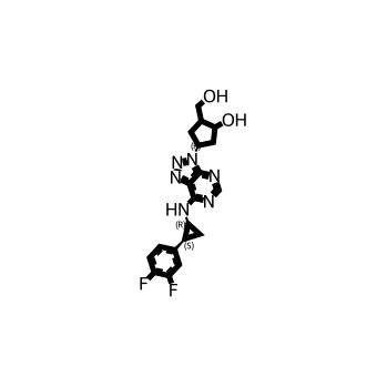 OCC1C[C@@H](n2nnc3c(N[C@@H]4C[C@H]4c4ccc(F)c(F)c4)ncnc32)CC1O